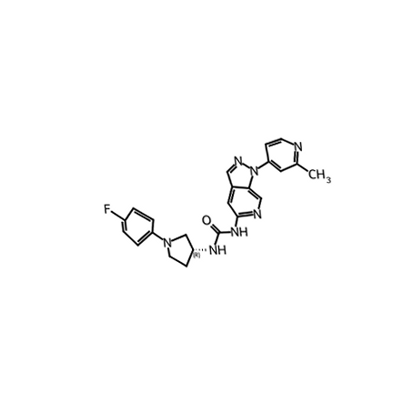 Cc1cc(-n2ncc3cc(NC(=O)N[C@@H]4CCN(c5ccc(F)cc5)C4)ncc32)ccn1